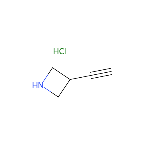 C#CC1CNC1.Cl